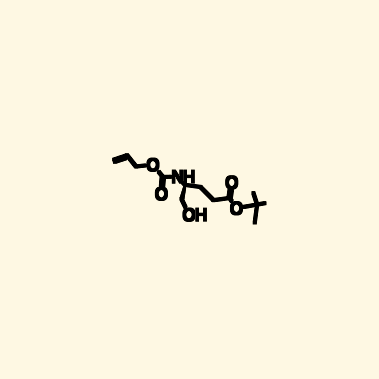 C=CCOC(=O)N[C@H](CO)CCC(=O)OC(C)(C)C